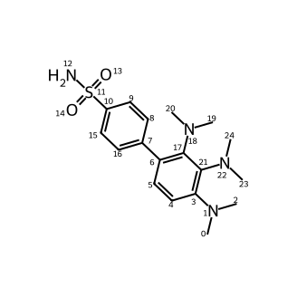 CN(C)c1ccc(-c2ccc(S(N)(=O)=O)cc2)c(N(C)C)c1N(C)C